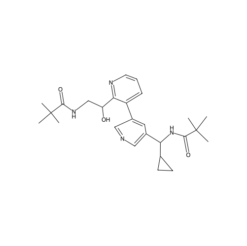 CC(C)(C)C(=O)NCC(O)c1ncccc1-c1cncc(C(NC(=O)C(C)(C)C)C2CC2)c1